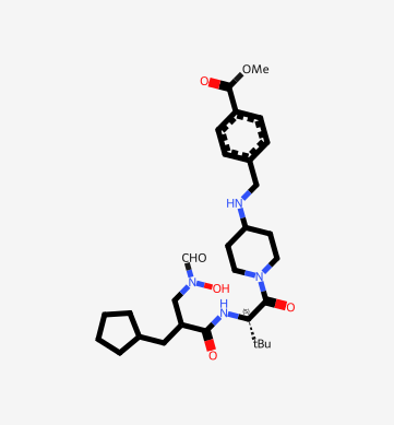 COC(=O)c1ccc(CNC2CCN(C(=O)[C@@H](NC(=O)C(CC3CCCC3)CN(O)C=O)C(C)(C)C)CC2)cc1